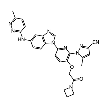 Cc1ccc(Nc2ccc3c(c2)ncn3-c2ccc(OCC(=O)N3CCC3)c(-n3nc(C#N)cc3C)n2)nn1